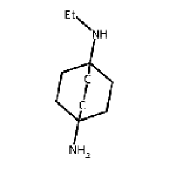 CCNC12CCC(N)(CC1)CC2